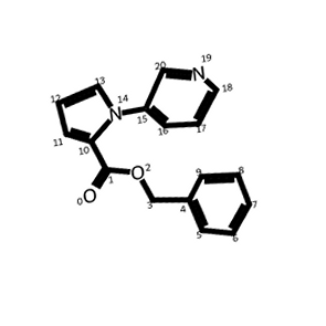 O=C(OCc1ccccc1)c1cccn1-c1cccnc1